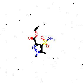 CCOC(=O)c1nn(C)c(C)c1S(N)(=O)=O